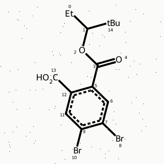 CCC(OC(=O)c1cc(Br)c(Br)cc1C(=O)O)C(C)(C)C